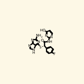 Nc1nc(S[C@H](C(=O)Nc2nccc(O)n2)c2ccc(F)cc2)c2[nH]cnc2n1